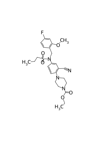 CCCS(=O)(=O)N(Cc1ccc(F)cc1OC)c1ccc(N2CCN(C(=O)OCC)CC2)c(C#N)c1